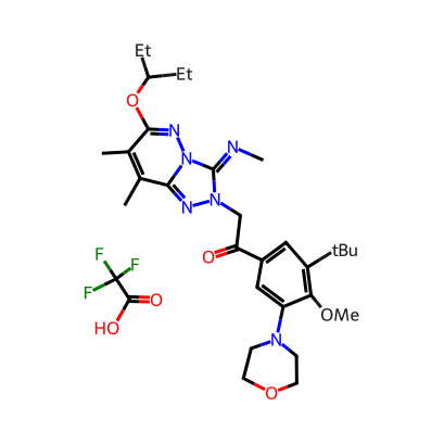 CCC(CC)Oc1nn2/c(=N/C)n(CC(=O)c3cc(N4CCOCC4)c(OC)c(C(C)(C)C)c3)nc2c(C)c1C.O=C(O)C(F)(F)F